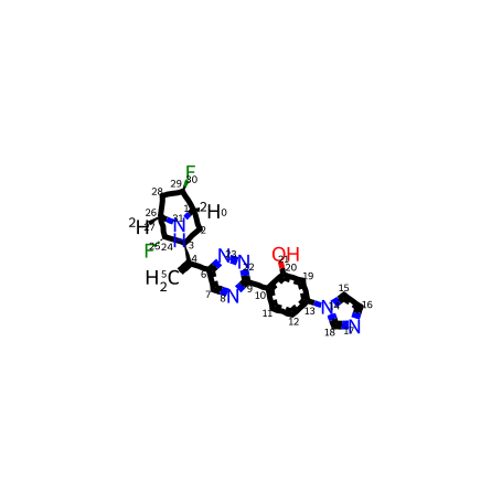 [2H][C@]12C[C@@H](C(=C)c3cnc(-c4ccc(-n5ccnc5)cc4O)nn3)[C@H](F)[C@]([2H])(C[C@H]1F)N2